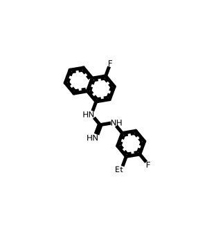 CCc1cc(NC(=N)Nc2ccc(F)c3ccccc23)ccc1F